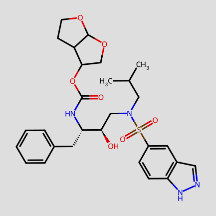 CC(C)CN(C[C@@H](O)[C@H](Cc1ccccc1)NC(=O)OC1COC2OCCC12)S(=O)(=O)c1ccc2[nH]ncc2c1